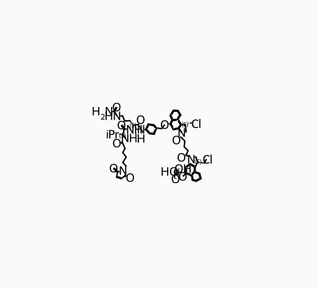 CC(C)[C@H](NC(=O)CCCCCN1C(=O)C=CC1=O)C(=O)N[C@@H](CCCNC(N)=O)C(=O)Nc1ccc(COc2cc3c(c4ccccc24)[C@H](CCl)CN3C(=O)CCCC(=O)N2C[C@@H](CCl)c3c2cc(OP(=O)(O)O)c2ccccc32)cc1